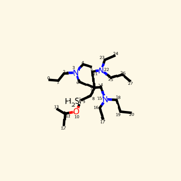 CCCN(CC)CC(C[SiH2]OC(C)C)(CN(CC)CCC)CN(CC)CCC